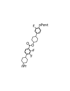 CCCCCc1ccc(C2CCC(OC(=O)c3ccc(C4CCC(CCC)CC4)c(F)c3F)CC2)cc1F